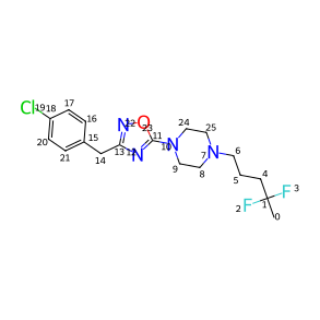 CC(F)(F)CCCN1CCN(c2nc(Cc3ccc(Cl)cc3)no2)CC1